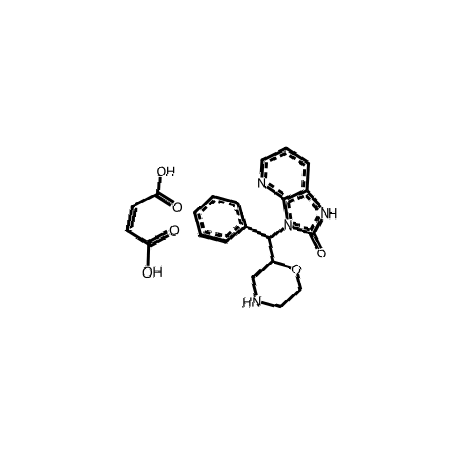 O=C(O)/C=C\C(=O)O.O=c1[nH]c2cccnc2n1C(c1ccccc1)C1CNCCO1